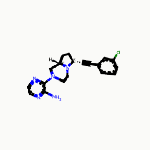 Nc1nccnc1N1CCN2[C@@H](CC[C@@H]2C#Cc2cccc(Cl)c2)C1